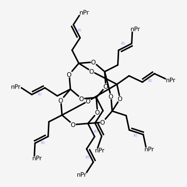 CCC/C=C/CC12OC3(C/C=C/CCC)OC4(C/C=C/CCC)OC(C/C=C/CCC)(O1)OC1(C/C=C/CCC)OC(C/C=C/CCC)(O2)OC(C/C=C/CCC)(O3)OC(C/C=C/CCC)(O4)O1